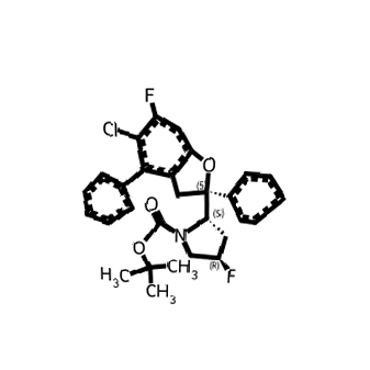 CC(C)(C)OC(=O)N1C[C@H](F)C[C@H]1[C@@]1(c2ccccc2)Cc2c(cc(F)c(Cl)c2-c2ccccc2)O1